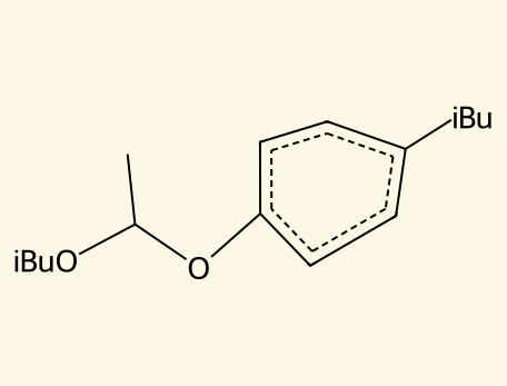 CCC(C)c1ccc(OC(C)OCC(C)C)cc1